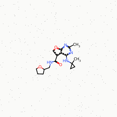 Cc1nc(NC2(C)CC2)c2c(C(=O)NCC3CCCO3)coc2n1